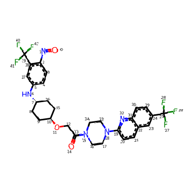 O=Nc1ccc(N[C@H]2CC[C@H](OCC(=O)N3CCN(c4ccc5cc(C(F)(F)F)ccc5n4)CC3)CC2)cc1C(F)(F)F